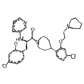 O=C([C@@H](Cc1ccc(Cl)cc1Cl)Nc1cccnc1)N1CCC(c2ccc(Cl)cc2OCCN2CCCC2)CC1